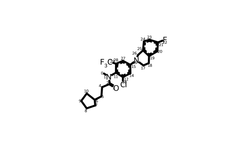 CN(C(=O)CCC1CCCC1)c1c(Cl)cc(N2CCc3cc(F)ccc3C2)cc1C(F)(F)F